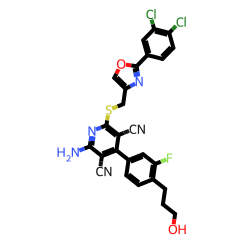 N#Cc1c(N)nc(SCc2coc(-c3ccc(Cl)c(Cl)c3)n2)c(C#N)c1-c1ccc(CCCO)c(F)c1